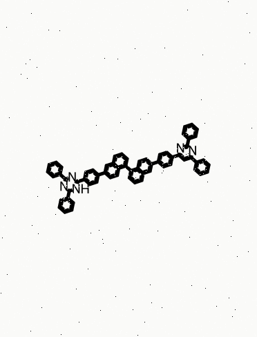 c1ccc(C2=NC(c3ccccc3)NC(c3ccc(-c4ccc5c(-c6cccc7cc(-c8ccc(-c9cc(-c%10ccccc%10)nc(-c%10ccccc%10)n9)cc8)ccc67)cccc5c4)cc3)=N2)cc1